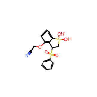 N#CCOc1cccc2c1C(S(=O)(=O)c1ccccc1)CS2(O)O